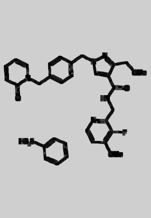 COCc1nn(Cc2ccc(Cn3ccccc3=O)cc2)cc1C(=O)NCc1nccc(OC)c1F.O=S(=O)(O)c1ccccc1